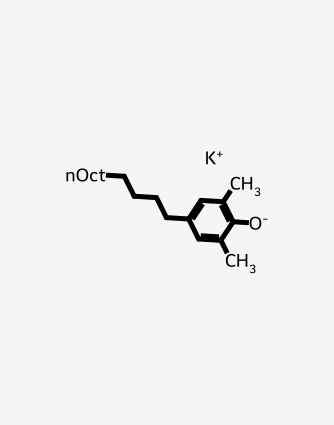 CCCCCCCCCCCCc1cc(C)c([O-])c(C)c1.[K+]